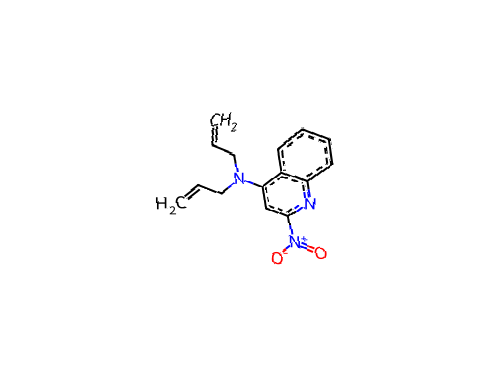 C=CCN(CC=C)c1cc([N+](=O)[O-])nc2ccccc12